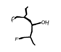 CC(F)C(O)C(C)F